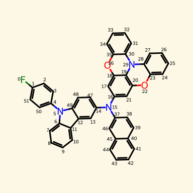 Fc1ccc(-n2c3ccccc3c3cc(N(c4cc5c6c(c4)Oc4ccccc4N6c4ccccc4O5)c4ccc5ccccc5c4)ccc32)cc1